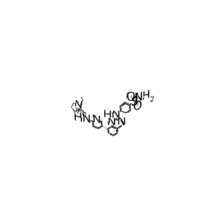 CCN1CCC[C@@H]1CNc1ccc(-c2cccc3cnc(Nc4ccc(S(N)(=O)=O)cc4)nc23)cn1